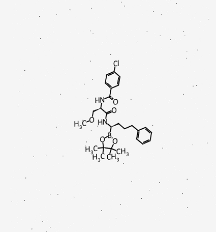 COC[C@@H](NC(=O)c1ccc(Cl)cc1)C(=O)N[C@@H](CCCc1ccccc1)B1OC(C)(C)C(C)(C)O1